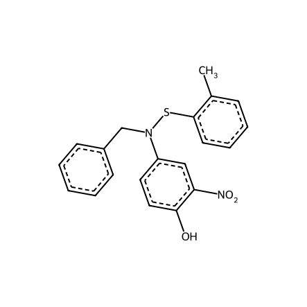 Cc1ccccc1SN(Cc1ccccc1)c1ccc(O)c([N+](=O)[O-])c1